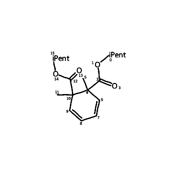 CCCC(C)OC(=O)C1(C)C=CC=CC1(C)C(=O)OC(C)CCC